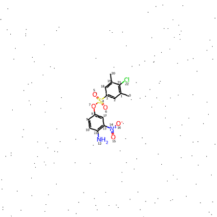 Cc1cc(S(=O)(=O)Oc2ccc(N)c([N+](=O)[O-])c2)cc(C)c1Cl